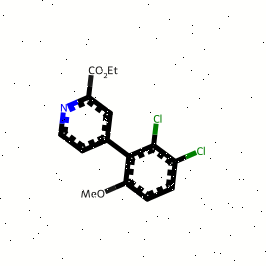 CCOC(=O)c1cc(-c2c(OC)ccc(Cl)c2Cl)ccn1